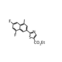 CCOC(=O)c1cnc(-c2cc(C)c3cc(F)cc(F)c3c2)s1